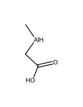 [CH3][AlH][CH2]C(=O)O